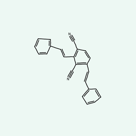 N#Cc1ccc(C=Cc2ccccc2)c(C#N)c1C=Cc1ccccc1